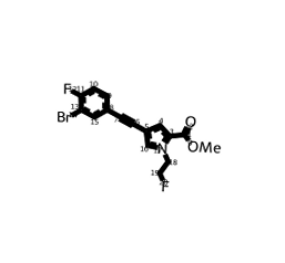 COC(=O)c1cc(C#Cc2ccc(F)c(Br)c2)cn1CCF